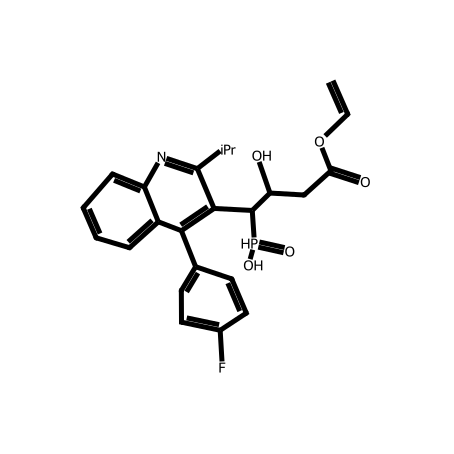 C=COC(=O)CC(O)C(c1c(C(C)C)nc2ccccc2c1-c1ccc(F)cc1)[PH](=O)O